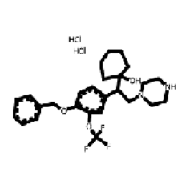 Cl.Cl.OC1(C(CN2CCNCC2)c2ccc(OCc3ccccc3)c(OC(F)(F)F)c2)CCCCC1